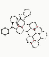 C1=Cc2cccc(-c3ccccc3N(c3ccc4c(c3)c3ccccc3n4-c3ccccc3)c3ccccc3-c3cccc4oc5ccccc5c34)c2C(c2ccccc2)C1